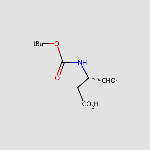 CC(C)(C)OC(=O)N[C@H]([C]=O)CC(=O)O